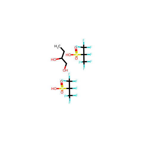 CCC(O)CO.O=S(=O)(O)C(F)(C(F)(F)F)C(F)(F)F.O=S(=O)(O)C(F)(C(F)(F)F)C(F)(F)F